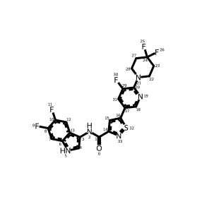 O=C(Nc1c[nH]c2cc(F)c(F)cc12)c1cc(-c2cnc(N3CCC(F)(F)CC3)c(F)c2)sn1